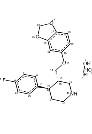 CC(C)O.Cl.Fc1ccc([C@@H]2CCNC[C@H]2COc2ccc3c(c2)OCO3)cc1